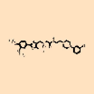 COc1ccc(-c2nc(C[S+]([O-])CC(=O)NCCN3CCN(c4cccc(Cl)c4)CC3)c(C)o2)cc1OC